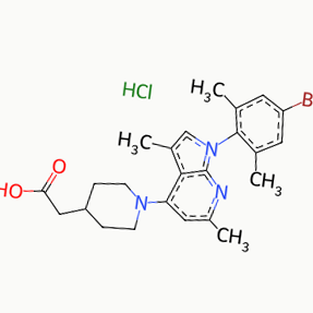 Cc1cc(N2CCC(CC(=O)O)CC2)c2c(C)cn(-c3c(C)cc(Br)cc3C)c2n1.Cl